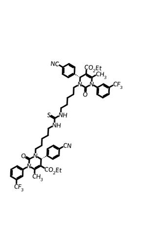 CCOC(=O)C1=C(C)N(c2cccc(C(F)(F)F)c2)C(=O)N(CCCCCNC(=S)NCCCCCN2C(=O)N(c3cccc(C(F)(F)F)c3)C(C)=C(C(=O)OCC)[C@H]2c2ccc(C#N)cc2)[C@@H]1c1ccc(C#N)cc1